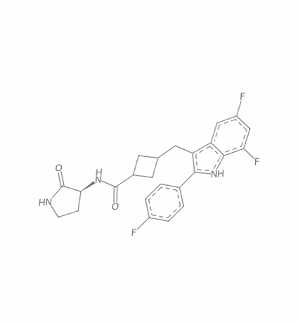 O=C(N[C@H]1CCNC1=O)C1CC(Cc2c(-c3ccc(F)cc3)[nH]c3c(F)cc(F)cc23)C1